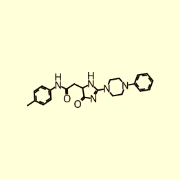 Cc1ccc(NC(=O)CC2NC(N3CCN(c4ccccc4)CC3)=NC2=O)cc1